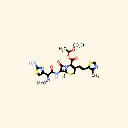 CCOC(=O)OC(C)OC(=O)C1=C(C=Cc2scnc2C)CS[C@H]2C(NC(=O)C(=NOC)c3csc(N)n3)C(=O)N12